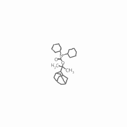 CC(C)(OC(=O)N(C1CCCCC1)C1CCCCC1)C1C2CC3CC(C2)CC1C3